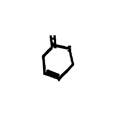 [C]1=CCNSC1